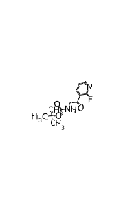 CC(C)(C)OC(=O)NCC(=O)c1cccnc1F